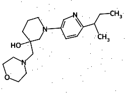 CCC(C)c1ccc(N2CCCC(O)(CN3CCOCC3)C2)cn1